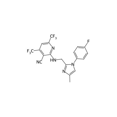 Cc1cn(-c2ccc(F)cc2)c(CNc2nc(C(F)(F)F)cc(C(F)(F)F)c2C#N)n1